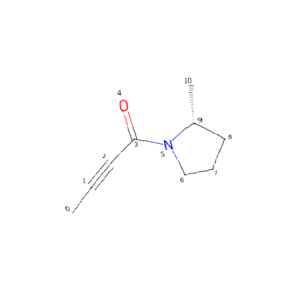 CC#CC(=O)N1CCC[C@H]1C